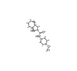 CCOc1ccc(NC(=O)c2cc3ncccc3[nH]2)cc1